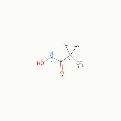 O=C(NO)C1(C(F)(F)F)CC1